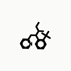 CCC(C)[C](Cc1ccccn1)c1ccccc1C(C)(C)C